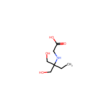 CCC(CO)(CO)NCC(=O)O